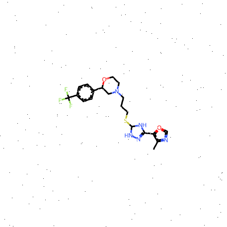 Cc1ncoc1C1=NNC(SCCCN2CCOC(c3ccc(C(F)(F)F)cc3)C2)N1